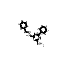 Nc1nc(NSCc2ccccc2)nc(-c2ccccc2)n1